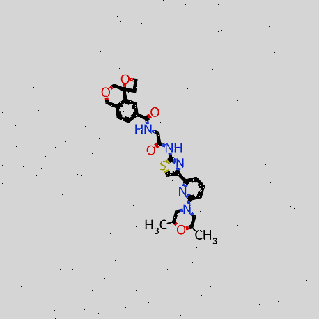 C[C@@H]1CN(c2cccc(-c3csc(NC(=O)CNC(=O)c4ccc5c(c4)C4(CCO4)COC5)n3)n2)C[C@H](C)O1